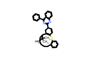 CC1(C)C2C[C@H]1CCCc1ccccc1SC1=C2CC(c2nc(-c3ccccc3)c3ccccc3n2)C=C1